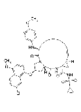 COc1ccc(N[C@H]2CCCCC/C=C\[C@H]3C[C@@]3(C(=O)NS(=O)(=O)C3CC3)NC(=O)[C@@H]3C[C@@H](Oc4ncc(OC)c5ccc(Cl)cc45)CN3C2=O)cn1